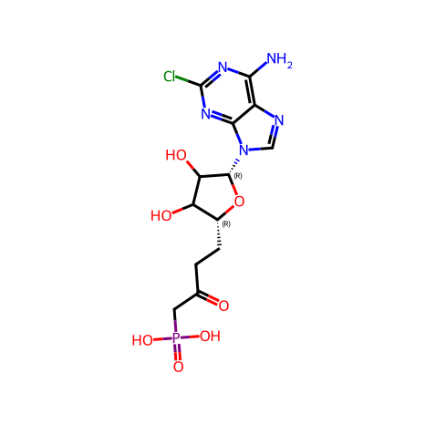 Nc1nc(Cl)nc2c1ncn2[C@@H]1O[C@H](CCC(=O)CP(=O)(O)O)C(O)C1O